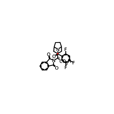 O=C(O)[C@H](C1CC2CCC(C1)N2C(=O)c1cc(F)c(F)cc1F)N1C(=O)c2ccccc2C1=O